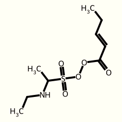 CCC=CC(=O)OOS(=O)(=O)C(C)NCC